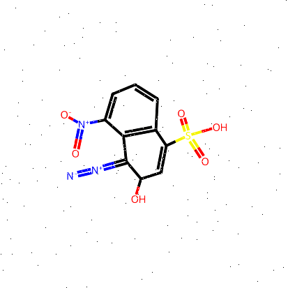 [N-]=[N+]=C1c2c(cccc2[N+](=O)[O-])C(S(=O)(=O)O)=CC1O